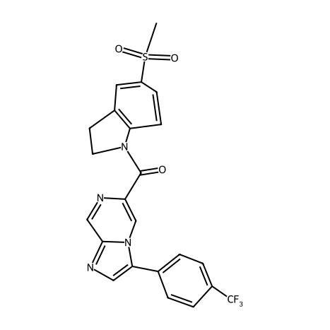 CS(=O)(=O)c1ccc2c(c1)CCN2C(=O)c1cn2c(-c3ccc(C(F)(F)F)cc3)cnc2cn1